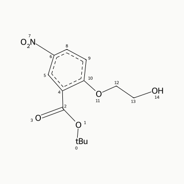 CC(C)(C)OC(=O)c1cc([N+](=O)[O-])ccc1OCCO